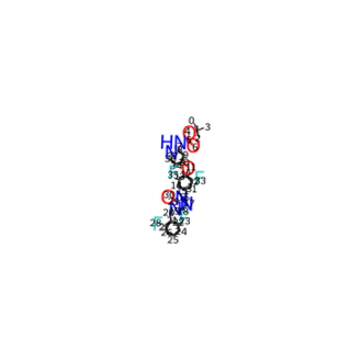 CC(C)(C)OC(=O)Nc1cc(Oc2ccc(-n3ncn(Cc4c(F)cccc4F)c3=O)cc2F)c(F)cn1